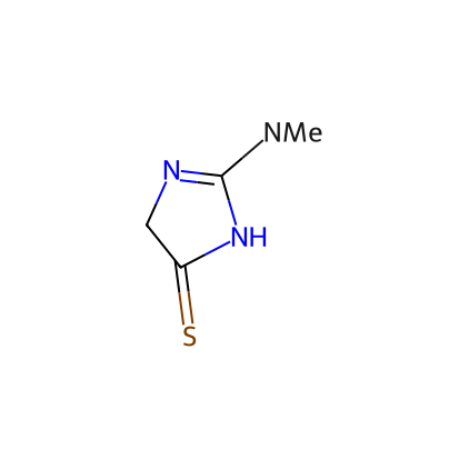 CNC1=NCC(=S)N1